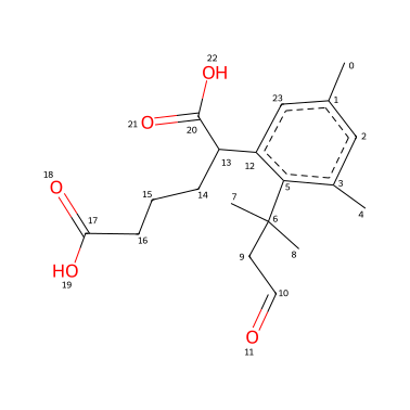 Cc1cc(C)c(C(C)(C)CC=O)c(C(CCCC(=O)O)C(=O)O)c1